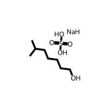 CC(C)CCCCCO.O=S(=O)(O)O.[NaH]